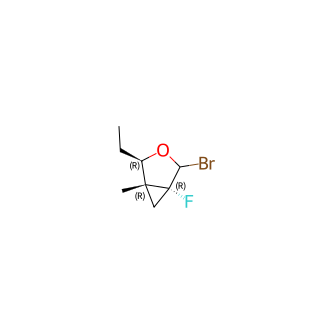 CC[C@H]1OC(Br)[C@@]2(F)C[C@]12C